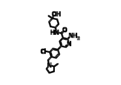 CC1CCCN1Cc1ccc(-c2cnc(N)c(C(=O)NC3CCC(C)(O)CC3)c2)cc1Cl